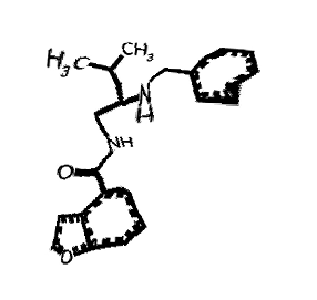 CC(C)C(CNC(=O)c1cccc2occc12)NCc1ccccc1